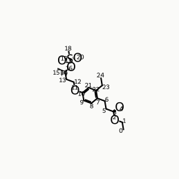 CCOC(=O)CCc1ccc(OCC[C@@H](C)OS(C)(=O)=O)cc1CC